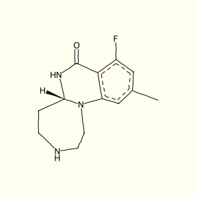 Cc1cc(F)c2c(c1)N1CCNCC[C@@H]1NC2=O